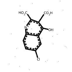 O=C(O)c1nc2ccc(Cl)cc2c(O)c1C(=O)O